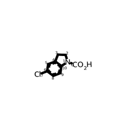 O=C(O)N1CCc2cc(Cl)ccc21